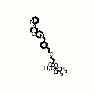 CC(C)(C)OC(=O)CCOCCc1cccc(CN2CCC3(CC2)CN(c2ccccn2)CCO3)c1